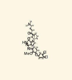 COc1cc(-c2cn([C@@H]3CCCN(C(=O)C=CCN(C)C)C3)c3c(=O)[nH]nc(N)c23)ccc1Oc1ccc(Cl)c(Cl)c1